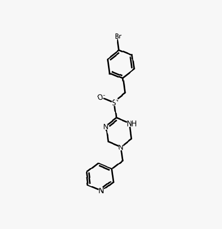 [O-][S+](Cc1ccc(Br)cc1)C1=NCN(Cc2cccnc2)CN1